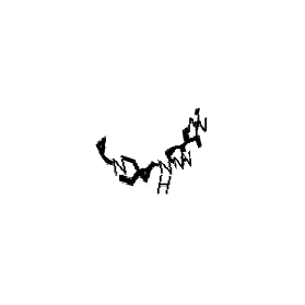 Cc1nn(C)cc1-c1ccc(NCC2CC23CCN(CC2CC2)CC3)nn1